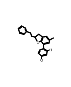 Cc1cc2c(c(-c3ccc(Cl)cc3Cl)c1)OC([CH]Cc1ccccc1)C2